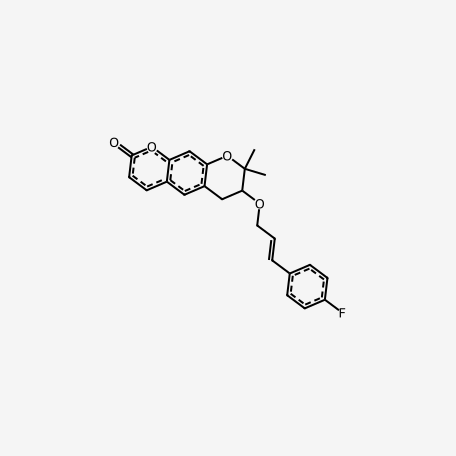 CC1(C)Oc2cc3oc(=O)ccc3cc2CC1OCC=Cc1ccc(F)cc1